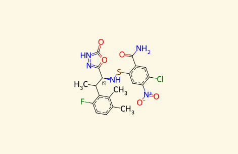 Cc1ccc(F)c(C(C)[C@H](NSc2cc([N+](=O)[O-])c(Cl)cc2C(N)=O)c2n[nH]c(=O)o2)c1C